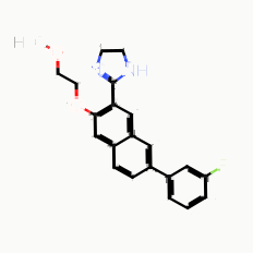 COCCOc1cc2ccc(-c3cccc(F)c3)cc2cc1C1=NCCN1